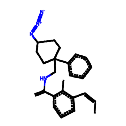 C=C(NCC1(c2ccccc2)CCC(N=[N+]=[N-])CC1)c1cccc(/C=C\C)c1C